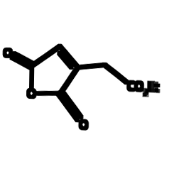 CCOC(=O)CC1=CC(=O)OC1=O